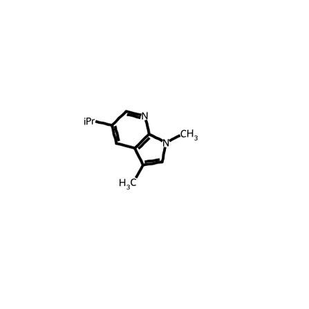 Cc1cn(C)c2ncc(C(C)C)cc12